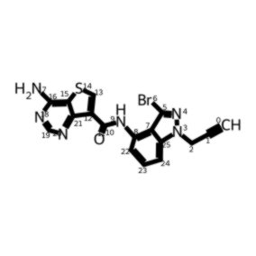 C#CCn1nc(Br)c2c(NC(=O)c3csc4c(N)ncnc34)cccc21